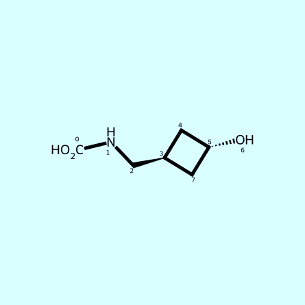 O=C(O)NC[C@H]1C[C@H](O)C1